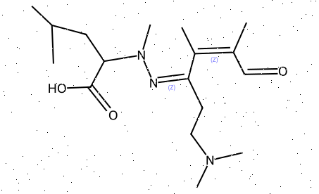 C/C(C=O)=C(C)/C(CCN(C)C)=N\N(C)C(CC(C)C)C(=O)O